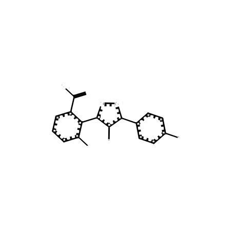 NC(=O)c1cccc(F)c1-c1n[nH]c(-c2ccc(F)cc2)c1F